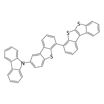 c1ccc2c(c1)sc1sc3c(-c4cccc5c4sc4ccc(-n6c7ccccc7c7ccccc76)cc45)cccc3c12